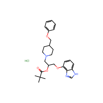 CC(C)(C)C(=O)OC(COc1cccc2[nH]cnc12)CN1CCC(COc2ccccc2)CC1.Cl